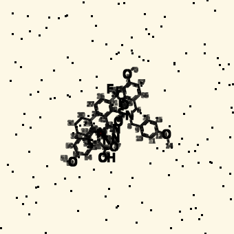 COc1ccc(CN(Cc2ccc(OC)cc2)S(=O)(=O)c2c(C(F)(F)F)ccc(C3CCCc4sc(C(=O)O)nc43)c2-c2nnnn2Cc2ccc(OC)cc2)cc1